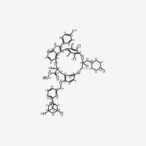 Cc1c(Cl)c2c(Cl)c(C)c1-c1c(-c3ccc(F)cc3)sc3ncnc(c13)O[C@@H](C(=O)OC(C)(C)C)Cc1cc(ccc1OCc1ccnc(N3C[C@H]4C[C@@H](C3)C4(F)F)n1)OC[C@@H](CN1CCN(C)CC1)O2